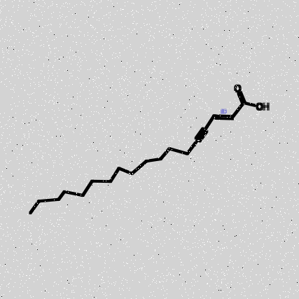 CCCCCCCCCCCCCC#C/C=C/C(=O)O